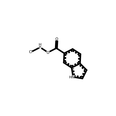 O=C(OPCl)c1ccc2cc[nH]c2c1